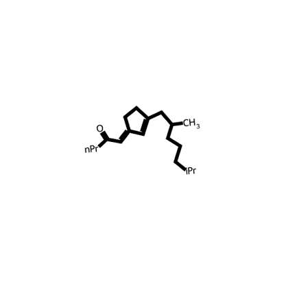 CCCC(=O)C=C1C=C(CC(C)CCCC(C)C)CC1